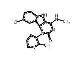 CNc1nc(=O)n(-c2cccnc2C)c2c1[nH]c1ccc(Cl)cc12